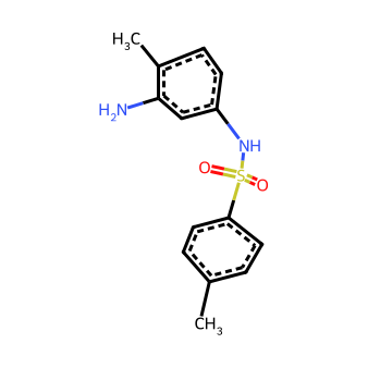 Cc1ccc(S(=O)(=O)Nc2ccc(C)c(N)c2)cc1